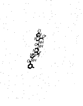 CO[C@@H](C)c1c(NC(=O)Nc2cnc(-n3cc(NC(=O)c4cccc(C)c4)cn3)c(C(F)(F)F)c2)cnc2cc(Cl)nn12